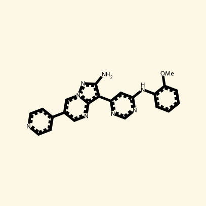 COc1ccccc1Nc1cc(-c2c(N)nn3cc(-c4ccncc4)cnc23)ncn1